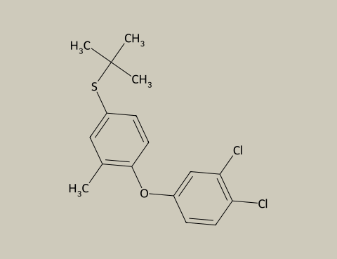 Cc1cc(SC(C)(C)C)ccc1Oc1ccc(Cl)c(Cl)c1